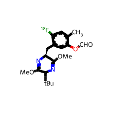 COC1=N[C@@H](Cc2cc(OC=O)c(C)cc2[18F])C(OC)=NC1C(C)(C)C